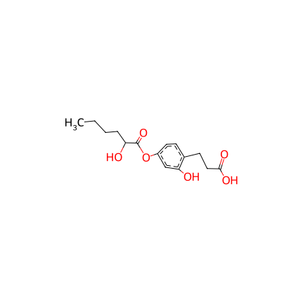 CCCCC(O)C(=O)Oc1ccc(CCC(=O)O)c(O)c1